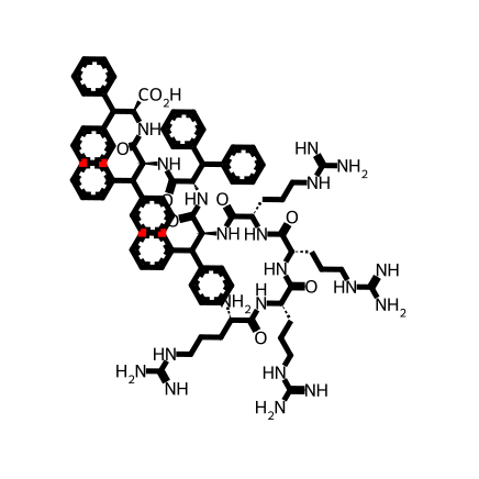 N=C(N)NCCC[C@H](NC(=O)[C@H](CCCNC(=N)N)NC(=O)[C@@H](N)CCCNC(=N)N)C(=O)N[C@@H](CCCNC(=N)N)C(=O)N[C@H](C(=O)N[C@H](C(=O)N[C@H](C(=O)N[C@H](C(=O)O)C(c1ccccc1)c1ccccc1)C(c1ccccc1)c1ccccc1)C(c1ccccc1)c1ccccc1)C(c1ccccc1)c1ccccc1